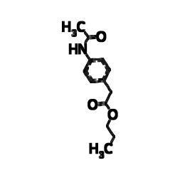 CCCOC(=O)Cc1ccc(NC(C)=O)cc1